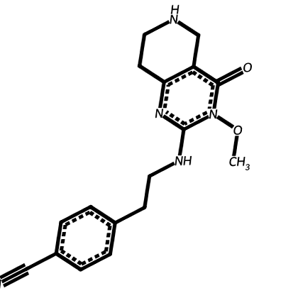 COn1c(NCCc2ccc(C#N)cc2)nc2c(c1=O)CNCC2